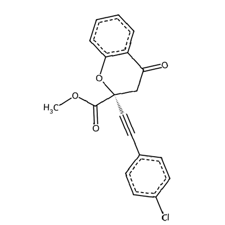 COC(=O)[C@]1(C#Cc2ccc(Cl)cc2)CC(=O)c2ccccc2O1